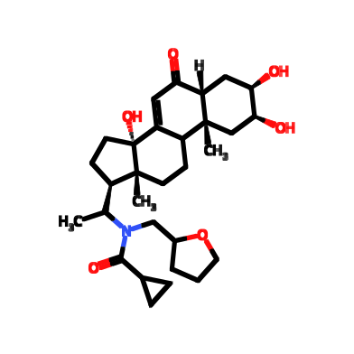 CC([C@H]1CC[C@@]2(O)C3=CC(=O)[C@@H]4C[C@@H](O)[C@@H](O)C[C@]4(C)C3CC[C@]12C)N(CC1CCCO1)C(=O)C1CC1